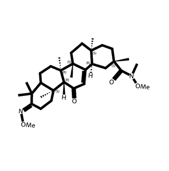 CON=C1CC[C@@]2(C)C(CC[C@]3(C)[C@@H]2C(=O)C=C2[C@@H]4C[C@@](C)(C(=O)N(C)OC)CC[C@]4(C)CC[C@]23C)C1(C)C